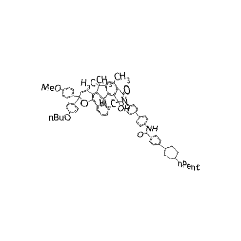 CCCCCC1CCC(c2ccc(C(=O)Nc3ccc(-c4ccc(N5C(=O)c6c(C)cc7c(c6C5(C)O)-c5c(c6c(c8ccccc58)OC(c5ccc(OC)cc5)(c5ccc(OCCCC)cc5)C=C6)C7(C)C)cc4)cc3)cc2)CC1